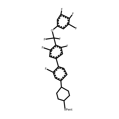 CCCCCC1CCC(c2ccc(-c3cc(F)c(C(F)(F)Oc4cc(F)c(F)c(F)c4)c(F)c3)c(F)c2)CC1